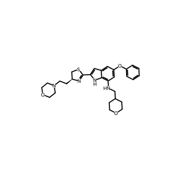 c1ccc(Oc2cc(NCC3CCOCC3)c3[nH]c(C4=N[C@@H](CCN5CCOCC5)CS4)cc3c2)cc1